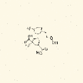 CC1(C(=O)O)C=CC=C(C(=O)O)C1.CC1CCC(CCOO)CC1